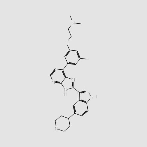 CN(C)CCOc1cc(F)cc(-c2ccnc3[nH]c(-c4n[nH]c5ccc(C6CCNCC6)cc45)nc23)c1